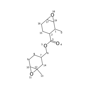 CC1C(C(=O)OCC2CCC3OC3(C)C2)CCC2OC21